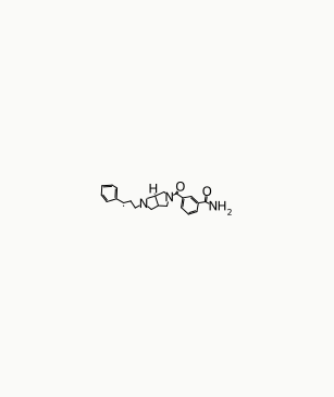 NC(=O)c1cccc(C(=O)N2CC3CN(CC[CH]c4ccccc4)C[C@H]3C2)c1